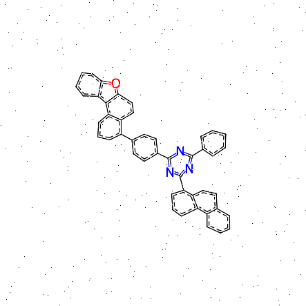 c1ccc(-c2nc(-c3ccc(-c4cccc5c4ccc4oc6ccccc6c45)cc3)nc(-c3cccc4c3ccc3ccccc34)n2)cc1